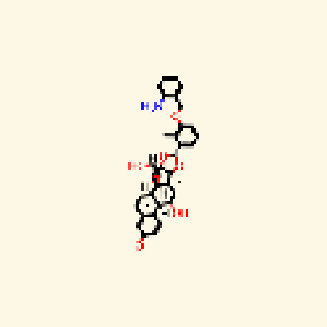 Cc1c(OCc2ccccc2N)cccc1[C@@H]1O[C@@H]2C[C@H]3[C@@H]4CCC5=CC(=O)C=C[C@]5(C)[C@H]4[C@@H](O)C[C@]3(C)[C@]2(C(=O)CO)O1